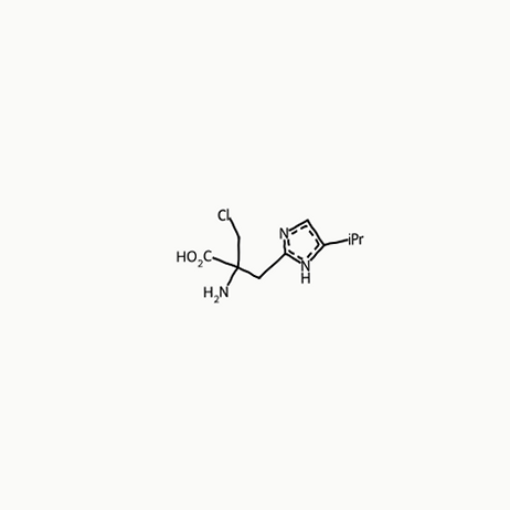 CC(C)c1cnc(CC(N)(CCl)C(=O)O)[nH]1